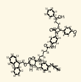 COc1ccc(C2C(CC[C@H](O)c3ccccc3)C(=O)N2c2ccc(NC(=O)CCCCNC(=O)C(Cc3ccc(N=[N+]=[N-])cc3)NC(=O)OCC3c4ccccc4-c4ccccc43)cc2)cc1